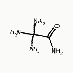 NC(=O)C(N)(N)N